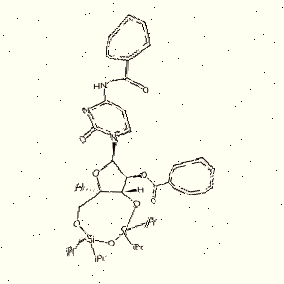 CC(C)[Si]1(C(C)C)OC[C@H]2O[C@@H](n3ccc(NC(=O)c4ccccc4)nc3=O)[C@@H](OC(=O)c3ccccc3)[C@@H]2O[Si](C(C)C)(C(C)C)O1